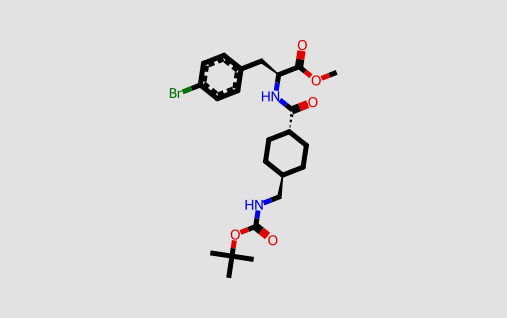 COC(=O)[C@H](Cc1ccc(Br)cc1)NC(=O)[C@H]1CC[C@H](CNC(=O)OC(C)(C)C)CC1